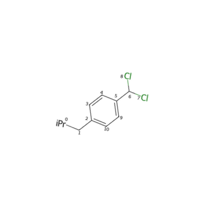 CC(C)Cc1ccc(C(Cl)Cl)cc1